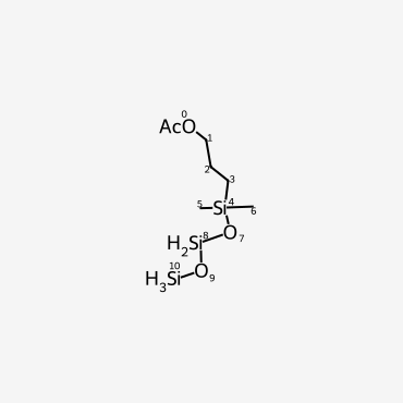 CC(=O)OCCC[Si](C)(C)O[SiH2]O[SiH3]